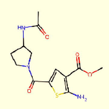 COC(=O)c1cc(C(=O)N2CCC(NC(C)=O)C2)sc1N